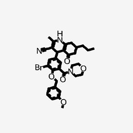 CCCC1CC(=O)C2=C(C1)NC(C)=C(C#N)C2c1cc(Br)c(OCc2cccc(OC)c2)c(C(=O)N2CCOCC2)c1